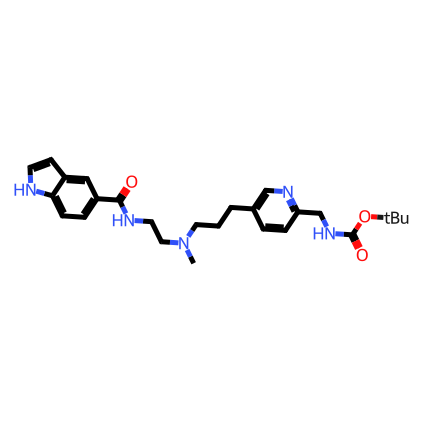 CN(CCCc1ccc(CNC(=O)OC(C)(C)C)nc1)CCNC(=O)c1ccc2[nH]ccc2c1